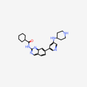 O=C(Nc1ncc2ccc(-c3cncc(NC4CCNCC4)c3)cc2n1)C1CCCCC1